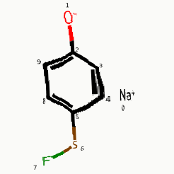 [Na+].[O-]c1ccc(SF)cc1